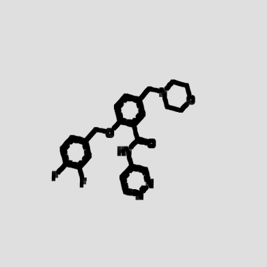 O=C(Nc1ccnnc1)c1cc(CN2CCOCC2)ccc1OCc1ccc(F)c(F)c1